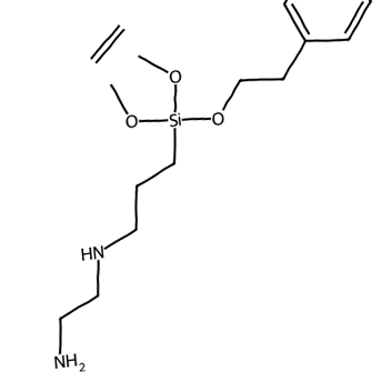 C=C.CO[Si](CCCNCCN)(OC)OCCc1ccccc1